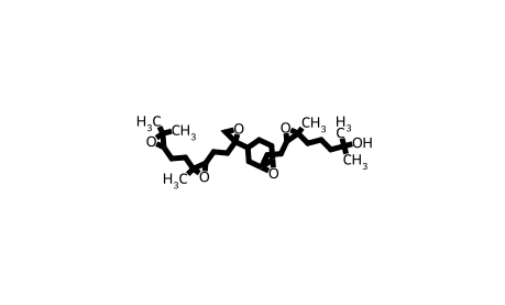 CC(C)(O)CCCC1(C)OC1CCC12CC(C3(CCC4OC4(C)CCC4OC4(C)C)CO3)CCC1O2